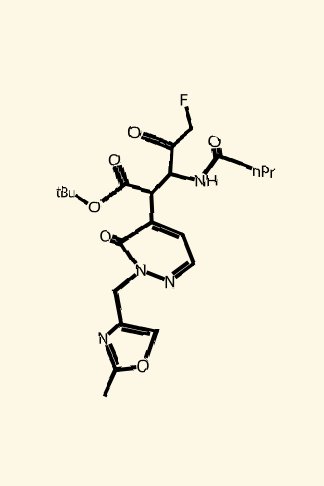 CCCC(=O)NC(C(=O)CF)C(C(=O)OC(C)(C)C)c1ccnn(Cc2coc(C)n2)c1=O